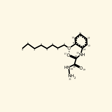 CCCCCCCCOc1ccccc1NC(=O)C(=O)NN